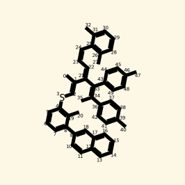 CC(=C\Sc1cccc(-c2ccc3ccccc3c2)c1C)/C(=C\C=C/c1c(C)cccc1C)C(=C(\C)c1ccc(C)cc1)/c1ccc(C)cc1